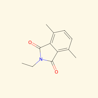 CCN1C(=O)c2c(C)ccc(C)c2C1=O